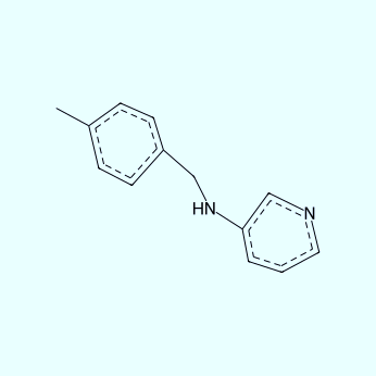 Cc1ccc(CNc2cccnc2)cc1